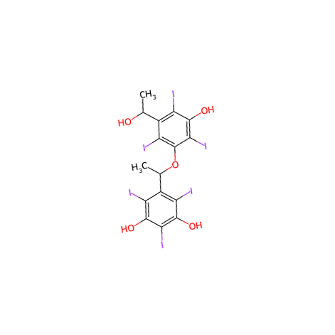 CC(O)c1c(I)c(O)c(I)c(OC(C)c2c(I)c(O)c(I)c(O)c2I)c1I